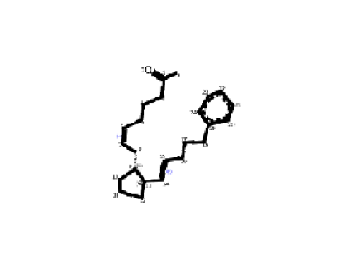 CC(=O)CCC/C=C\C[C@H]1CCC[C@@H]1/C=C/CCCc1ccccc1